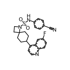 N#Cc1ccc(NS(=O)(=O)N2CCC23CCC(c2ccnc4ccc(F)cc24)CC3)cc1